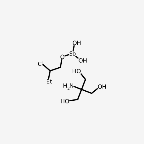 CCC(Cl)C[O][Sb]([OH])[OH].NC(CO)(CO)CO